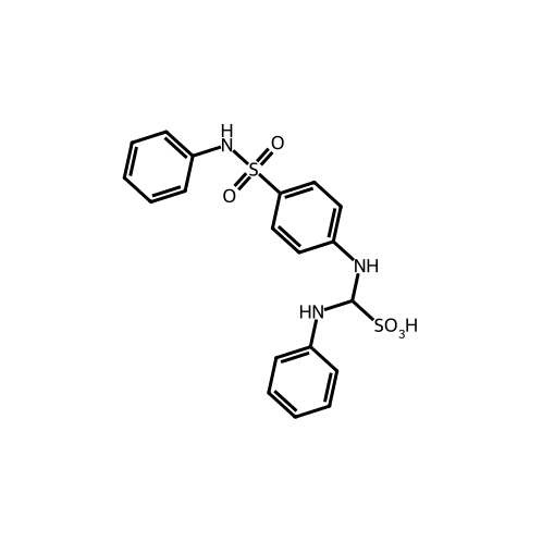 O=S(=O)(Nc1ccccc1)c1ccc(NC(Nc2ccccc2)S(=O)(=O)O)cc1